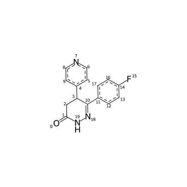 O=C1CC(c2ccncc2)C(c2ccc(F)cc2)=NN1